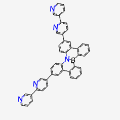 c1cncc(-c2ccc(-c3ccc4c(c3)-c3ccccc3B3c5ccccc5-c5cc(-c6ccc(-c7cccnc7)nc6)ccc5N34)cn2)c1